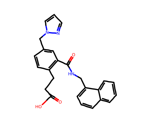 O=C(O)CCc1ccc(Cn2cccn2)cc1C(=O)NCc1cccc2ccccc12